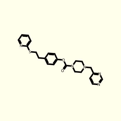 O=C(Oc1ccc(CCSc2ccccn2)cc1)N1CCN(Cc2ccncn2)CC1